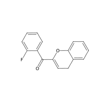 O=C(C1=CCc2ccccc2O1)c1ccccc1F